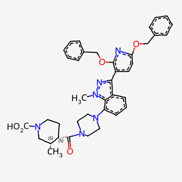 C[C@@H]1CN(C(=O)O)CC[C@@H]1C(=O)N1CCN(c2cccc3c(-c4ccc(OCc5ccccc5)nc4OCc4ccccc4)nn(C)c23)CC1